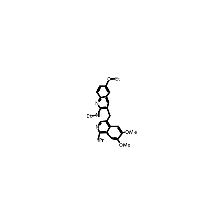 CCCc1ncc(Cc2cc3cc(OCC)ccc3nc2NCC)c2cc(OC)c(OC)cc12